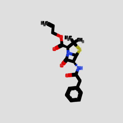 C=CCOC(=O)[C@@H]1N2C(=O)[C@@H](NC(=O)Cc3ccccc3)C2SC1(C)C